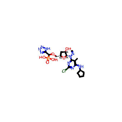 C=NN(c1nc(Cl)nc(NC2CCCC2)c1C)[C@@H]1O[C@H](COC(c2nnn[nH]2)P(=O)(O)O)C[C@H]1O